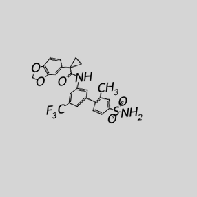 Cc1cc(S(N)(=O)=O)ccc1-c1cc(NC(=O)C2(c3ccc4c(c3)OCO4)CC2)cc(C(F)(F)F)c1